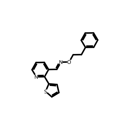 C(=NOCCc1ccccc1)c1cccnc1-c1cccs1